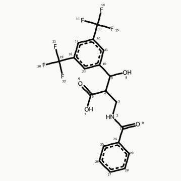 O=C(NCC(C(=O)O)C(O)c1cc(C(F)(F)F)cc(C(F)(F)F)c1)c1ccccc1